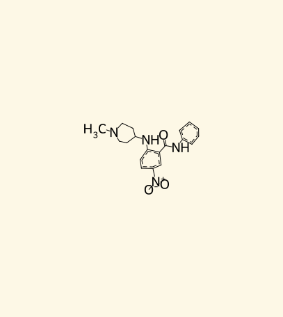 CN1CCC(Nc2ccc([N+](=O)[O-])cc2C(=O)Nc2ccccc2)CC1